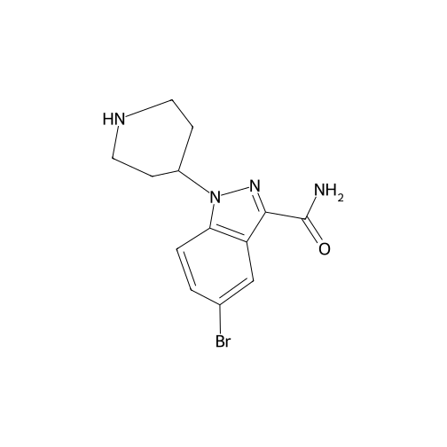 NC(=O)c1nn(C2CCNCC2)c2ccc(Br)cc12